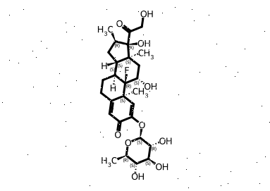 C[C@@H]1C[C@H]2[C@@H]3CCC4=CC(=O)C(O[C@@H]5O[C@H](C)[C@@H](O)[C@H](O)[C@H]5O)=C[C@]4(C)[C@@]3(F)[C@@H](O)C[C@]2(C)[C@@]1(O)C(=O)CO